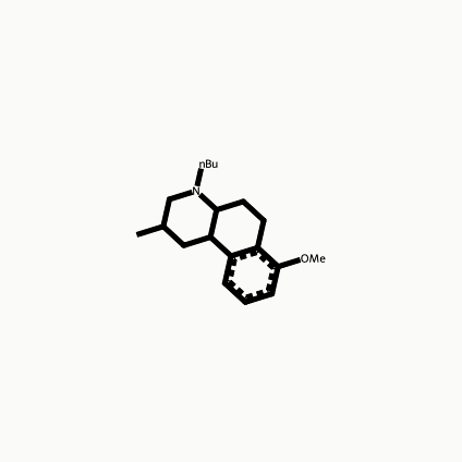 CCCCN1CC(C)CC2c3cccc(OC)c3CCC21